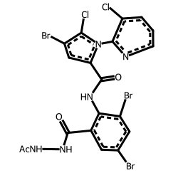 CC(=O)NNC(=O)c1cc(Br)cc(Br)c1NC(=O)c1cc(Br)c(Cl)n1-c1ncccc1Cl